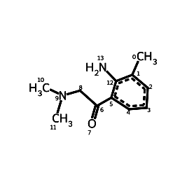 Cc1cccc(C(=O)CN(C)C)c1N